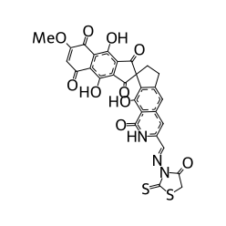 COC1=CC(=O)c2c(O)c3c(c(O)c2C1=O)C(=O)C1(CCc2cc4cc(C=NN5C(=O)CSC5=S)[nH]c(=O)c4c(O)c21)C3=O